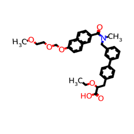 CCOC(Cc1ccc(-c2cccc(CN(C)C(=O)c3ccc4cc(OCOCCOC)ccc4c3)c2)cc1)C(=O)O